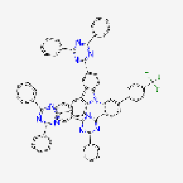 FC(F)(F)c1ccc(-c2ccc(-c3nc(-c4ccccc4)nc(-c4ccccc4)n3)c(-n3c4ccc(-c5nc(-c6ccccc6)nc(-c6ccccc6)n5)cc4c4cc(-c5nc(-c6ccccc6)nc(-c6ccccc6)n5)ccc43)c2)cc1